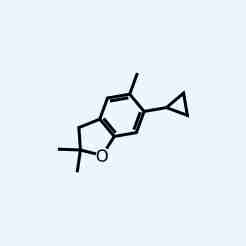 Cc1cc2c(cc1C1CC1)OC(C)(C)C2